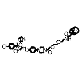 O=C(CC12CC3CC4CC(C1)C2(C4)C3)NCCOCCOCC(=O)N1CCN(c2ccc(OC[C@H]3CO[C@](Cn4ccnc4)(c4ccc(Cl)cc4Cl)O3)cc2)CC1